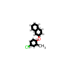 Cc1cc(Cl)ccc1Oc1ccc2ccccc2c1